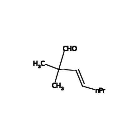 CCCC=CC(C)(C)C=O